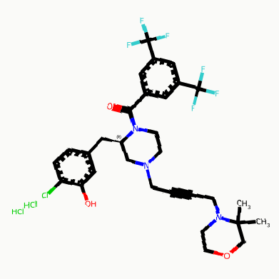 CC1(C)COCCN1CC#CCN1CCN(C(=O)c2cc(C(F)(F)F)cc(C(F)(F)F)c2)[C@H](Cc2ccc(Cl)c(O)c2)C1.Cl.Cl